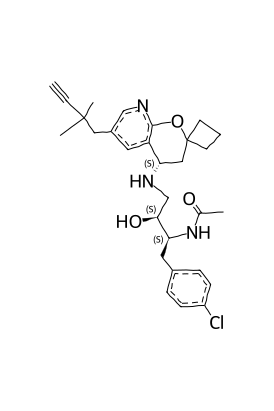 C#CC(C)(C)Cc1cnc2c(c1)[C@@H](NC[C@H](O)[C@H](Cc1ccc(Cl)cc1)NC(C)=O)CC1(CCC1)O2